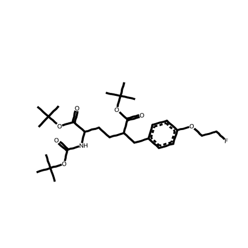 CC(C)(C)OC(=O)NC(CCC(Cc1ccc(OCCF)cc1)C(=O)OC(C)(C)C)C(=O)OC(C)(C)C